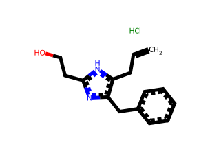 C=CCc1[nH]c(CCO)nc1Cc1ccccc1.Cl